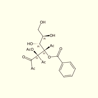 CC(=O)O[C@@](C(C)=O)(C(=O)C(C)=O)[C@](OC(=O)c1ccccc1)(C(C)=O)[C@H](O)[C@H](O)CO